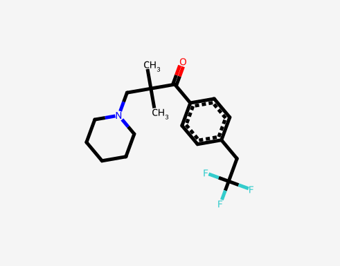 CC(C)(CN1CCCCC1)C(=O)c1ccc(CC(F)(F)F)cc1